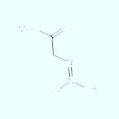 COC(=O)CN=[N+](C)[O-]